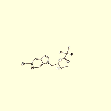 CNC(Cn1ccc2cc(Br)ncc21)OC(=O)C(F)(F)F